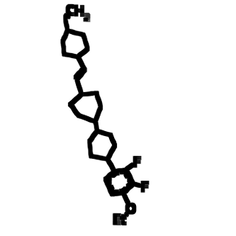 C=CC1CCC(/C=C/C2CCC(C3CCC(c4ccc(OCC)c(F)c4F)CC3)CC2)CC1